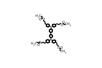 C=CC(=O)OCCCc1ccc(N(c2ccc(CCCOC(=O)C=C)cc2)c2ccc(-c3ccc(N(c4ccc(CCCOC(=O)C=C)cc4)c4ccc(CCCOC(=O)C=C)cc4)cc3)cc2)cc1